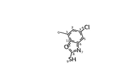 Cc1cc(Cl)cc2nc(S)oc12